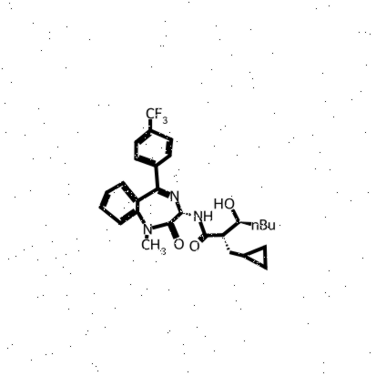 CCCC[C@H](O)[C@H](CC1CC1)C(=O)N[C@H]1N=C(c2ccc(C(F)(F)F)cc2)c2ccccc2N(C)C1=O